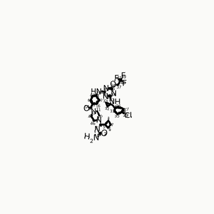 NC(=O)/N=C(\C1CCC1)N1CCN(C(=O)c2ccc(Nc3nc(NC4(c5ccc(Cl)cc5)CC4)nc(OCC(F)(F)F)n3)cc2)CC1